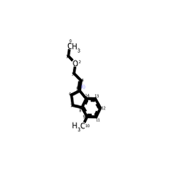 CCOC/C=C1\CCc2c(C)cccc21